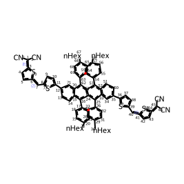 [C-]#[N+]/C(C#N)=c1\cc/c(=C/c2ccc(-c3ccc4c(-c5ccc(CCCCCC)cc5)c5c(-c6ccc(CCCCCC)cc6)c6cc(-c7ccc(/C=c8/ccc(=C(C#N)C#N)s8)s7)ccc6c(-c6ccc(CCCCCC)cc6)c5c(-c5ccc(CCCCCC)cc5)c4c3)s2)s1